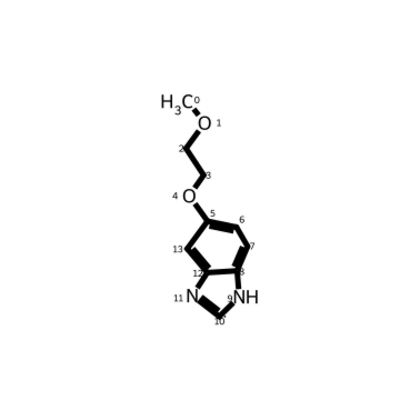 COCCOc1ccc2[nH][c]nc2c1